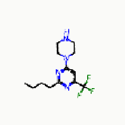 CCCCc1nc(N2CCNCC2)cc(C(F)(F)F)n1